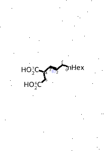 CCCCCCC/C=C/C(CC(=O)O)C(=O)O